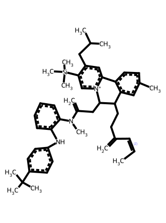 C=C(/C=C\C)CCC1c2cc(C)ccc2-c2cc(CC(C)C)c([Si](C)(C)C)c[n+]2C1CC(=C)N(C)c1ccccc1Nc1ccc(C(C)(C)C)cc1